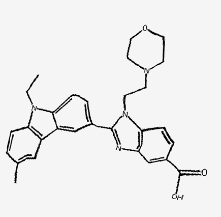 CCn1c2ccc(C)cc2c2cc(-c3nc4cc(C(=O)O)ccc4n3CCN3CCOCC3)ccc21